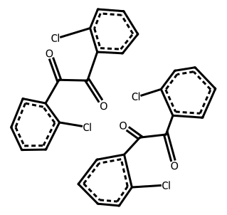 O=C(C(=O)c1ccccc1Cl)c1ccccc1Cl.O=C(C(=O)c1ccccc1Cl)c1ccccc1Cl